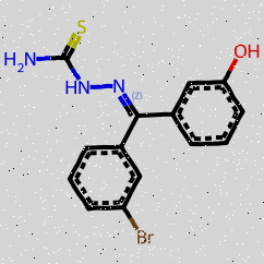 NC(=S)N/N=C(/c1cccc(O)c1)c1cccc(Br)c1